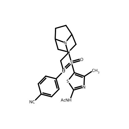 CC(=O)Nc1nc(C)c(S(=O)(=O)N2CC3CCC(C2)N3CCOc2ccc(C#N)cc2)s1